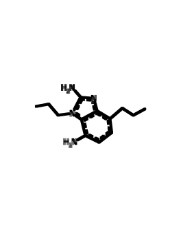 CCCc1ccc(N)c2c1nc(N)n2CCC